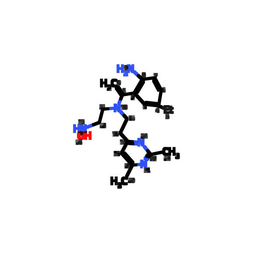 C=C(c1cc(CC)ccc1N)N(CCNO)CCc1cc(C)nc(C)n1